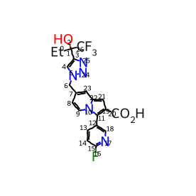 CCC(O)(c1cn(Cc2ccn3c(-c4ccc(F)nc4)c(C(=O)O)cc3c2)nn1)C(F)(F)F